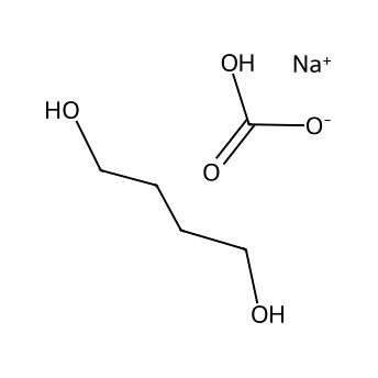 O=C([O-])O.OCCCCO.[Na+]